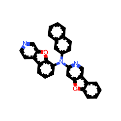 c1ccc2cc(N(c3cc4oc5ccccc5c4cn3)c3cccc4c3oc3cnccc34)ccc2c1